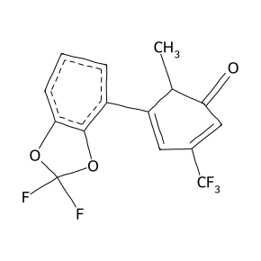 CC1C(=O)C=C(C(F)(F)F)C=C1c1cccc2c1OC(F)(F)O2